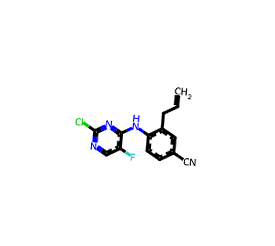 C=CCc1cc(C#N)ccc1Nc1nc(Cl)ncc1F